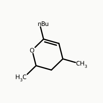 CCCCC1=CC(C)CC(C)O1